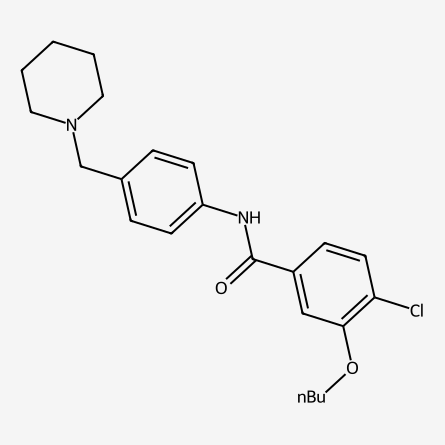 CCCCOc1cc(C(=O)Nc2ccc(CN3CCCCC3)cc2)ccc1Cl